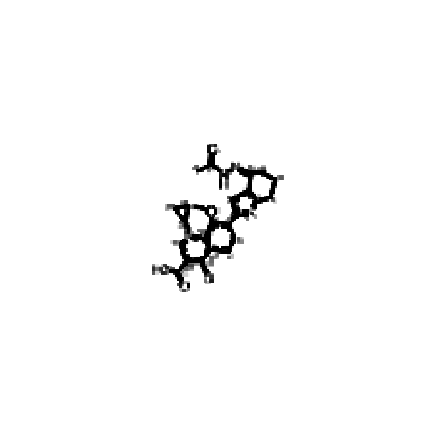 COc1c(-c2cc3c(s2)CCC/C3=N/NC(C)=O)ccc2c(=O)c(C(=O)O)cn(C3CC3)c12